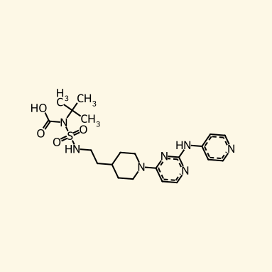 CC(C)(C)N(C(=O)O)S(=O)(=O)NCCC1CCN(c2ccnc(Nc3ccncc3)n2)CC1